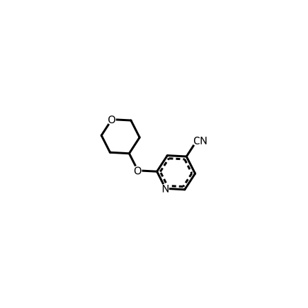 N#Cc1ccnc(OC2CCOCC2)c1